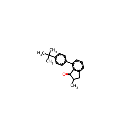 CC1Cc2cccc(-c3ccc(C(C)(C)C)cc3)c2C1=O